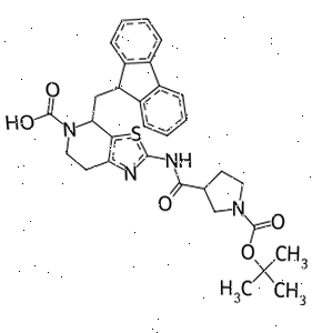 CC(C)(C)OC(=O)N1CCC(C(=O)Nc2nc3c(s2)C(CC2c4ccccc4-c4ccccc42)N(C(=O)O)CC3)C1